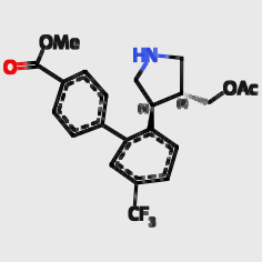 COC(=O)c1ccc(-c2cc(C(F)(F)F)ccc2[C@H]2CNC[C@@H]2COC(C)=O)cc1